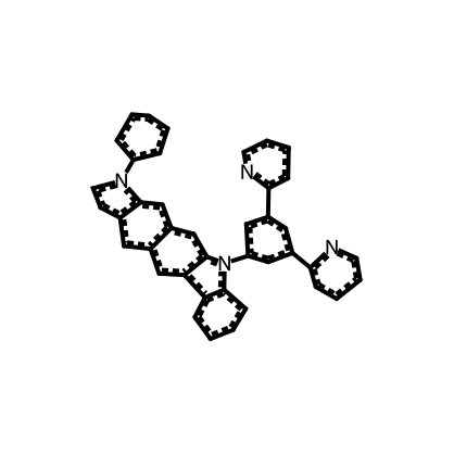 c1ccc(-n2ccc3cc4cc5c6ccccc6n(-c6cc(-c7ccccn7)cc(-c7ccccn7)c6)c5cc4cc32)cc1